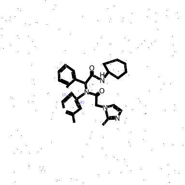 C=C(C)/C=C(\C=C/C)N(C(=O)Cn1ccnc1C)C(C(=O)NC1CCCCC1)c1ccccc1C